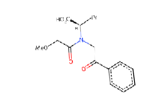 COCC(=O)N(CC(=O)c1ccccc1)[C@@H](C(=O)O)C(C)C